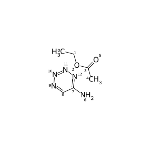 CCOC(C)=O.Nc1cnnnn1